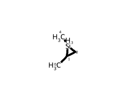 CC1C[SiH]1C